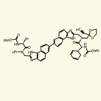 C#CC1(CN(Cc2nc3ccc4cc(-c5ccc6c(ccc7nc(CN(CCC)C(=O)[C@@H](NC(=O)OC)C(C)C)[nH]c76)c5)ccc4c3[nH]2)C(=O)[C@H](NC(=O)OC)C2C=CC=CC2)OCCO1